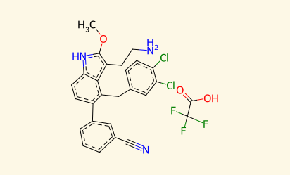 COc1[nH]c2ccc(-c3cccc(C#N)c3)c(Cc3ccc(Cl)c(Cl)c3)c2c1CCN.O=C(O)C(F)(F)F